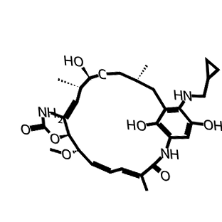 CO[C@H]1/C=C\C=C(/C)C(=O)Nc2cc(O)c(NCC3CC3)c(c2O)C[C@@H](C)CC[C@H](O)[C@@H](C)/C=C(\C)[C@@H]1OC(N)=O